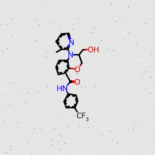 Cc1cccnc1N1c2cccc(C(=O)Nc3ccc(C(F)(F)F)cc3)c2OCC1CO